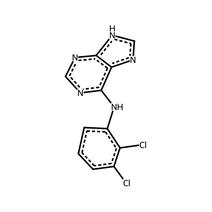 Clc1cccc(Nc2ncnc3[nH]cnc23)c1Cl